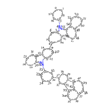 c1ccc(-n2c3ccc(-c4ccc5c(c4)c4ccccc4n5-c4cccc(-c5ccc6c(c5)-c5cccc7cccc-6c57)c4)cc3c3ccc4ccccc4c32)cc1